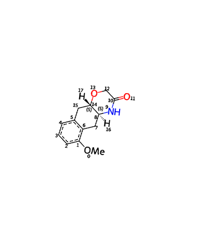 COc1cccc2c1C[C@@H]1NC(=O)CO[C@H]1C2